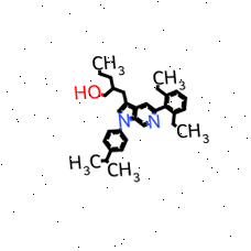 CCCC(CO)Cc1cn(-c2ccc(C(C)C)cc2)c2cnc(-c3c(CC)cccc3CC)cc12